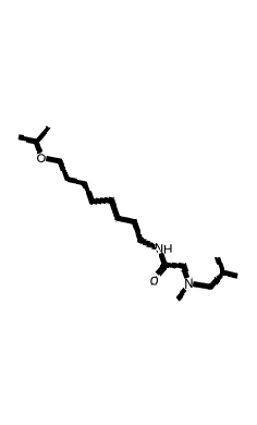 CC(C)CN(C)CC(=O)NCCCCCCCCOC(C)C